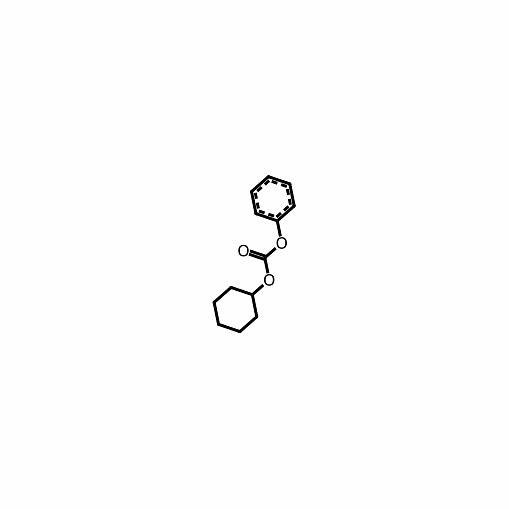 O=C(Oc1ccccc1)OC1CCCCC1